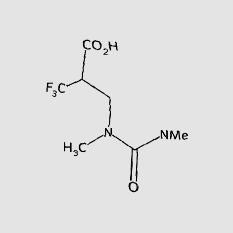 CNC(=O)N(C)CC(C(=O)O)C(F)(F)F